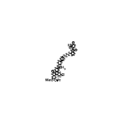 COc1cc2c(cc1OC(C)C)[C@H](c1ccc(Cl)cc1)N(c1ccc(N(C)C[C@H]3CC[C@H](N4CCN(CCCCCc5cccc6c5CN(C5CCC(=O)NC5=O)C6=O)CC4)CC3)cc1)C(=O)C2